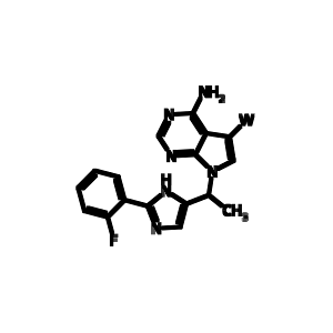 CC(c1cnc(-c2ccccc2F)[nH]1)n1c[c]([W])c2c(N)ncnc21